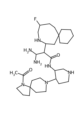 CC(=O)N1CCCC12CCN(C1CCNCC1NC(=O)C(C(N)N)C1CC3(CCCCC3)CCC(F)CN1)CC2